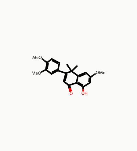 COc1cc(O)c2c(c1)C(C)(C)C(c1ccc(OC)c(OC)c1)=CC2=O